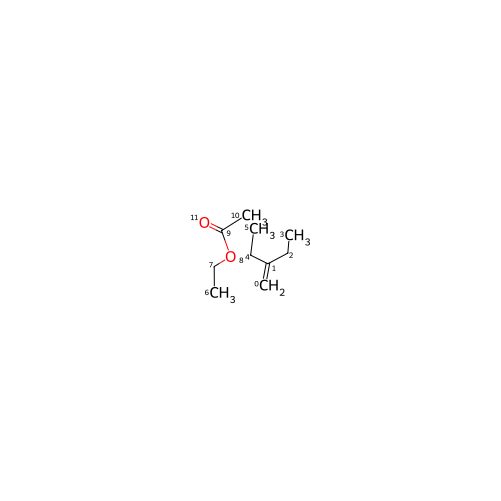 C=C(CC)CC.CCOC(C)=O